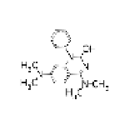 CN(C)C1=NC(O)N(c2ccccc2)c2cc(N(C)C)ccc21